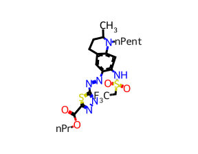 CCCCCN1c2cc(NS(=O)(=O)CC(F)(F)F)c(N=Nc3nnc(C(=O)OCCC)s3)cc2CCC1C